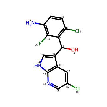 Nc1ccc(Cl)c(C(O)c2c[nH]c3ncc(Cl)cc23)c1F